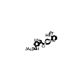 CSNc1ccc2[nH]cc(C(=O)N3CCN(c4ncccc4NC(C)C)CC3)c2c1